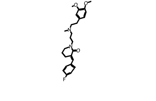 COc1ccc(CCN(C)CCCN2CCC/C(=C\c3ccc(F)cc3)C2=O)cc1OC